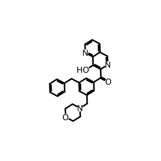 O=C(c1cc(Cc2ccccc2)cc(CN2CCOCC2)c1)c1ncc2cccnc2c1O